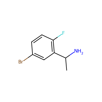 CC(N)c1cc(Br)ccc1F